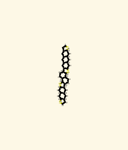 c1cc2cc3cc4cc5c(cc4cc3cc2s1)sc1c5ccc2c1ccc1c3cc4cc5ccsc5cc4cc3sc12